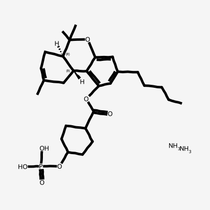 CCCCCc1cc(OC(=O)C2CCC(OP(=O)(O)O)CC2)c2c(c1)OC(C)(C)[C@@H]1CC=C(C)C[C@@H]21.N.N